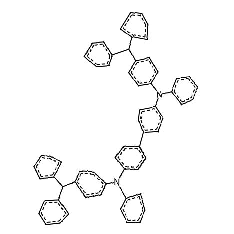 c1ccc(C(c2ccccc2)c2ccc(N(c3ccccc3)c3ccc(-c4ccc(N(c5ccccc5)c5ccc(C(c6ccccc6)c6ccccc6)cc5)cc4)cc3)cc2)cc1